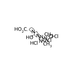 Cc1nn([C@H](C)c2ccc(Cl)cc2Cl)c2nc(N3CC[C@H](N4CCC[C@@H](CC(=O)O)C4)[C@H](CO)C3)cnc12.Cl